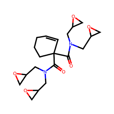 O=C(N(CC1CO1)CC1CO1)C1(C(=O)N(CC2CO2)CC2CO2)C=CCCC1